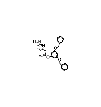 CC[C@@H](CC1COC(N)=N1)Oc1cc(OCc2ccccc2)cc(OCc2ccccc2)c1